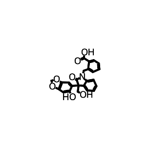 O=C(O)c1ccccc1CN1C(=O)C(CO)(c2cc3c(cc2O)OCO3)c2ccccc21